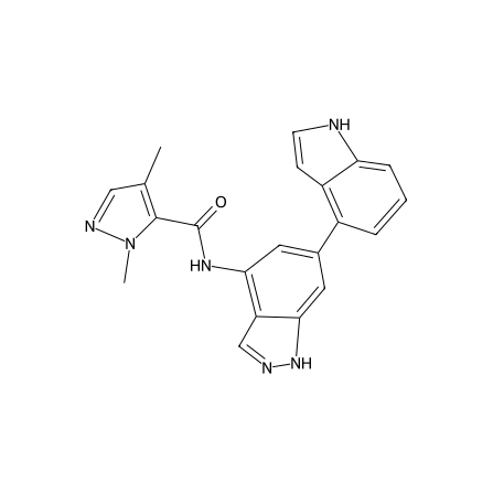 Cc1cnn(C)c1C(=O)Nc1cc(-c2cccc3[nH]ccc23)cc2[nH]ncc12